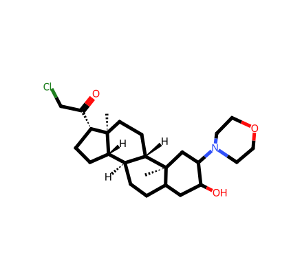 C[C@]12CC[C@H]3[C@@H](CCC4CC(O)C(N5CCOCC5)C[C@@]43C)[C@@H]1CC[C@@H]2C(=O)CCl